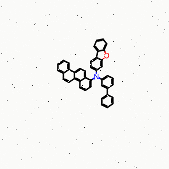 c1ccc(-c2cccc(N(c3ccc4c(c3)oc3ccccc34)c3cccc4c3ccc3c5ccccc5ccc43)c2)cc1